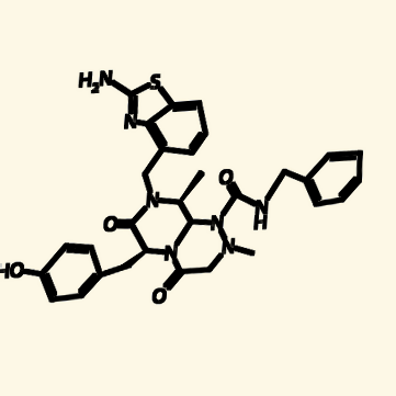 C[C@H]1C2N(C(=O)CN(C)N2C(=O)NCc2ccccc2)[C@@H](Cc2ccc(O)cc2)C(=O)N1Cc1cccc2sc(N)nc12